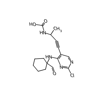 CC(C#Cc1cnc(Cl)nc1NC1(C=O)CCCCC1)NC(=O)O